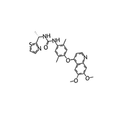 COc1cc2nccc(Oc3cc(C)c(NC(=O)N[C@@H](C)c4nccs4)cc3C)c2cc1OC